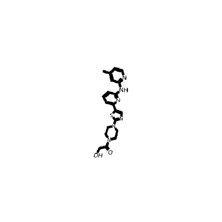 Cc1ccnc(Nc2cccc(-c3cnc(N4CCN(C(=O)CO)CC4)s3)n2)c1